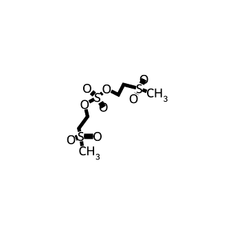 CS(=O)(=O)CCOS(=O)(=O)OCCS(C)(=O)=O